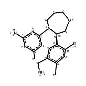 Cc1cc(N2CCCOC[C@H]2c2cc(CN)c(C)cc2Cl)nc(N)n1